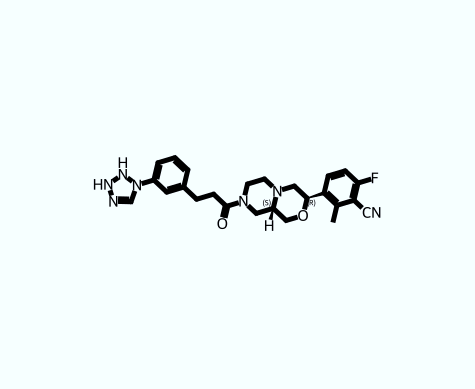 Cc1c([C@@H]2CN3CCN(C(=O)CCc4cccc(N5C=NNN5)c4)C[C@H]3CO2)ccc(F)c1C#N